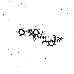 CC(C)(C)OC(=O)N1CCCC(C(=O)NNC(=O)C2CC[C@H]3CN2C(=O)N3OCc2ccccc2)C1